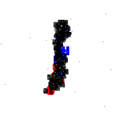 COc1cc(C)c(S(=O)(=O)N2CCCC(Oc3ccnc(CNCCCN4CCC(c5ccccc5)(N(C)C)CC4)n3)C2)c(C)c1